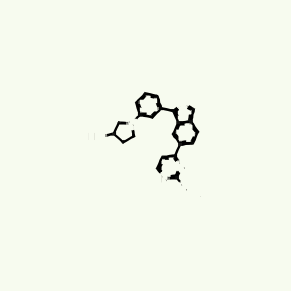 Nc1nccc(-c2ccc3coc(-c4cccc(N5CCC(O)C5)c4)c3c2)n1